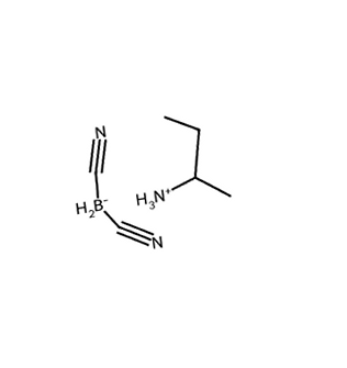 CCC(C)[NH3+].N#C[BH2-]C#N